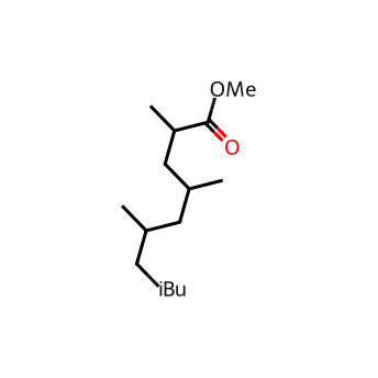 CCC(C)CC(C)CC(C)CC(C)C(=O)OC